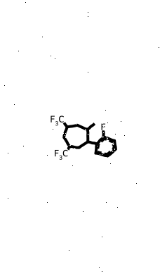 CC1CC(C(F)(F)F)CC(C(F)(F)F)CC1c1ccccc1F